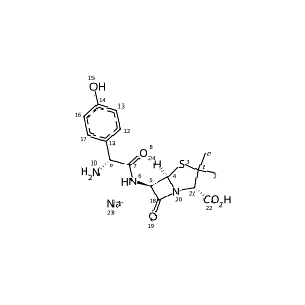 CC1(C)S[C@@H]2[C@H](NC(=O)[C@H](N)c3ccc(O)cc3)C(=O)N2[C@H]1C(=O)O.[Na]